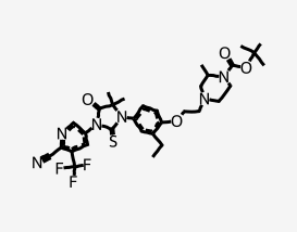 CCc1cc(N2C(=S)N(c3cnc(C#N)c(C(F)(F)F)c3)C(=O)C2(C)C)ccc1OCCN1CCN(C(=O)OC(C)(C)C)C(C)C1